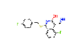 N=Cc1c(O)nc(SCc2ccc(F)cc2)c2cccc(F)c12